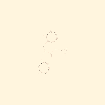 O=C(NC1CC1)N(Cc1ccccc1)Cc1ccccc1